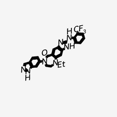 CCN1CCN(c2ccc3cn[nH]c3c2)C(=O)c2cc3nc(Nc4ccccc4C(F)(F)F)[nH]c3cc21